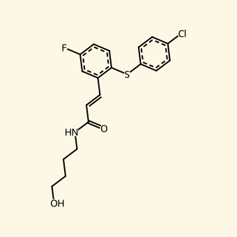 O=C(C=Cc1cc(F)ccc1Sc1ccc(Cl)cc1)NCCCCO